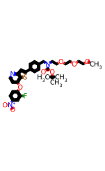 COCCOCCOCCN(Cc1ccc(-c2cc3nccc(Oc4ccc([N+](=O)[O-])cc4F)c3s2)cc1)C(=O)OC(C)(C)C